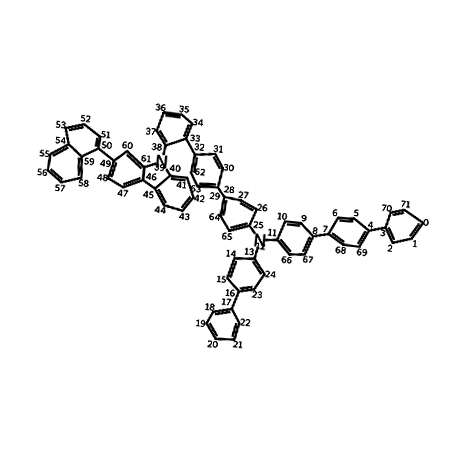 c1ccc(-c2ccc(-c3ccc(N(c4ccc(-c5ccccc5)cc4)c4ccc(-c5ccc(-c6ccccc6-n6c7ccccc7c7ccc(-c8cccc9ccccc89)cc76)cc5)cc4)cc3)cc2)cc1